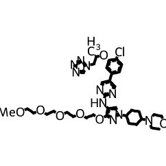 COCCOCCOCCOCCOc1nn(C2CCC(N3CCOCC3)CC2)cc1Nc1ncc(-c2ccc(Cl)c(O[C@@H](C)Cn3cnnn3)c2)cn1